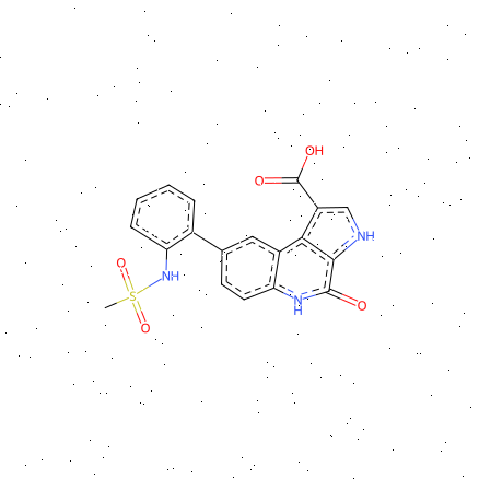 CS(=O)(=O)Nc1ccccc1-c1ccc2[nH]c(=O)c3[nH]cc(C(=O)O)c3c2c1